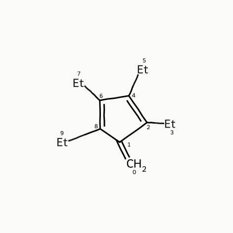 C=C1C(CC)=C(CC)C(CC)=C1CC